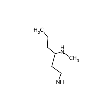 [CH2]CCC(CC[NH])NC